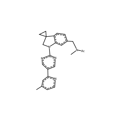 CC(=O)N(C)Cc1ccc2c(c1)N(c1ncc(-c3cc(C)ccn3)cn1)CC21CC1